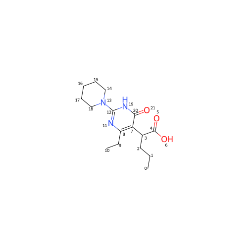 CCCC(C(=O)O)c1c(CC)nc(N2CCCCC2)[nH]c1=O